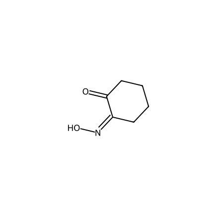 O=C1CCCC/C1=N/O